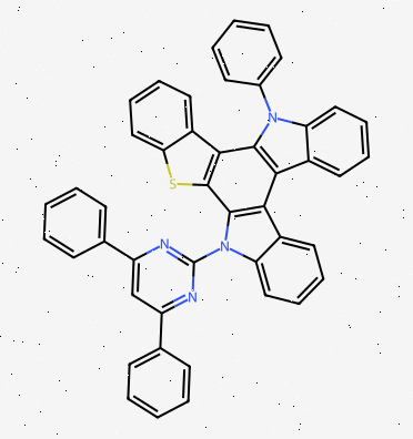 c1ccc(-c2cc(-c3ccccc3)nc(-n3c4ccccc4c4c5c6ccccc6n(-c6ccccc6)c5c5c6ccccc6sc5c43)n2)cc1